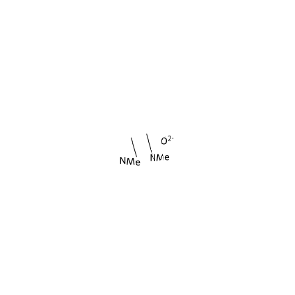 C[NH2+]C.C[NH2+]C.[O-2]